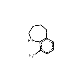 Cc1cccc2c1NCCCC2